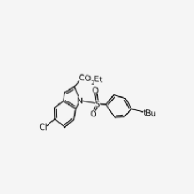 CCOC(=O)c1cc2cc(Cl)ccc2n1S(=O)(=O)c1ccc(C(C)(C)C)cc1